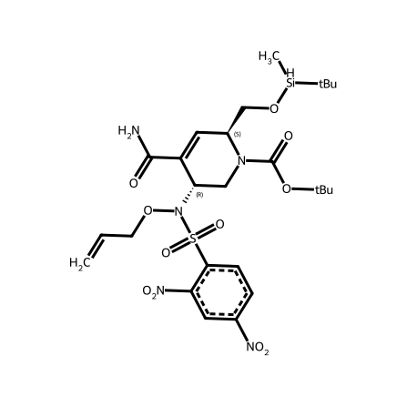 C=CCON([C@H]1CN(C(=O)OC(C)(C)C)[C@H](CO[SiH](C)C(C)(C)C)C=C1C(N)=O)S(=O)(=O)c1ccc([N+](=O)[O-])cc1[N+](=O)[O-]